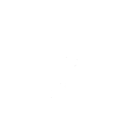 CCOc1ccccc1OCC.COc1ccccc1OC